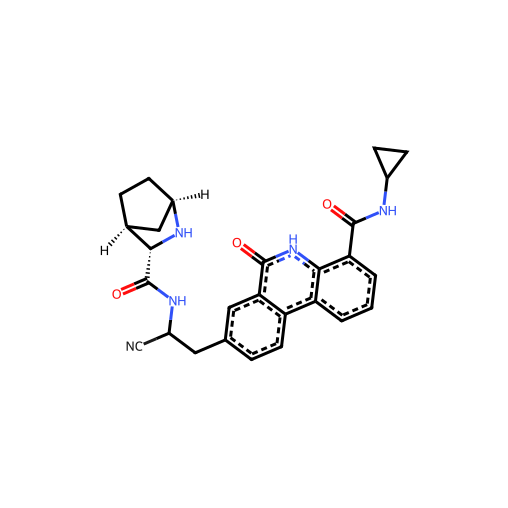 N#CC(Cc1ccc2c(c1)c(=O)[nH]c1c(C(=O)NC3CC3)cccc12)NC(=O)[C@H]1N[C@@H]2CC[C@H]1C2